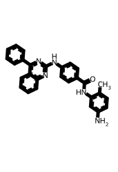 Cc1ccc(N)cc1NC(=O)c1ccc(Nc2nc(-c3ccccc3)c3ccccc3n2)cc1